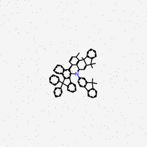 CC1C=CC2(C)C3=C1C1(C)C(=CC3(C)N(c3ccc4c(c3)C(C)(C)c3ccccc3-4)c3c4c(c5ccccc5c32)C(c2ccccc2)(c2ccccc2)c2ccccc2-4)C(C)(C)c2ccccc21